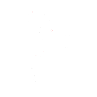 Cc1ccc(S(=O)(=O)OCCCc2c(OCc3ccccc3)ccc3c2CCO3)cc1